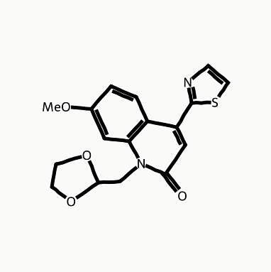 COc1ccc2c(-c3nccs3)cc(=O)n(CC3OCCO3)c2c1